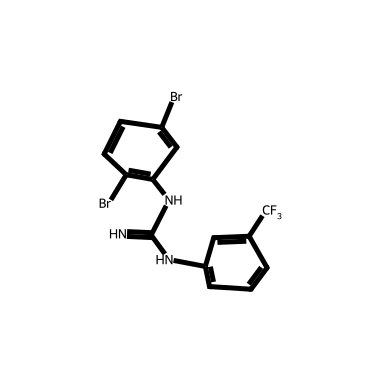 N=C(Nc1cccc(C(F)(F)F)c1)Nc1cc(Br)ccc1Br